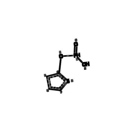 O=[PH](O)Oc1cccs1